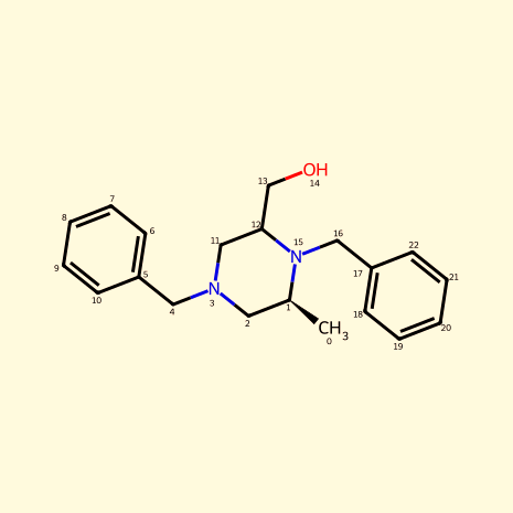 C[C@H]1CN(Cc2ccccc2)CC(CO)N1Cc1ccccc1